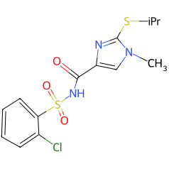 CC(C)Sc1nc(C(=O)NS(=O)(=O)c2ccccc2Cl)cn1C